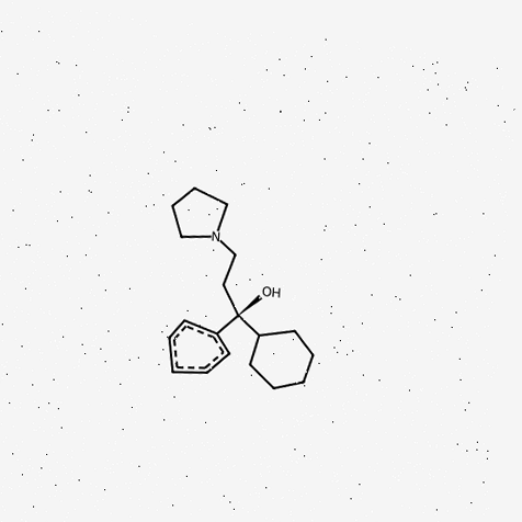 O[C@](CCN1CCCC1)(c1ccccc1)C1CCCCC1